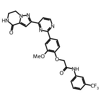 COc1cc(-c2nccc(-c3cc4n(n3)CCNC4=O)n2)ccc1OCC(=O)Nc1cccc(C(F)(F)F)c1